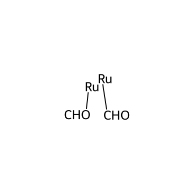 O=[CH][Ru].O=[CH][Ru]